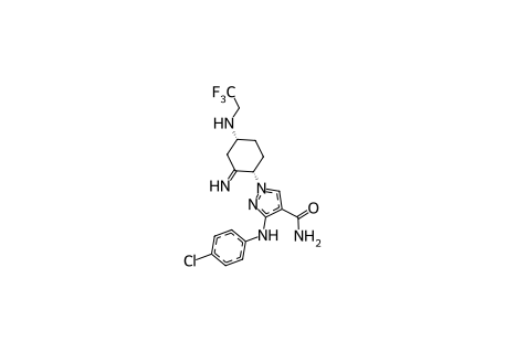 N=C1C[C@H](NCC(F)(F)F)CC[C@@H]1n1cc(C(N)=O)c(Nc2ccc(Cl)cc2)n1